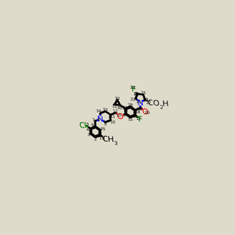 Cc1ccc(Cl)c(CN2CCC(COc3cc(F)c(C(=O)N4C[C@H](F)C[C@H]4C(=O)O)cc3C3CC3)CC2)c1